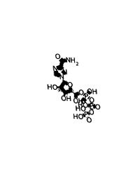 NC(=O)c1ncn([C@@H]2O[C@H](C(O)OP(=O)(O)OP(=O)(O)OP(=O)(O)O)[C@@H](O)[C@H]2O)n1